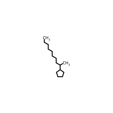 CCCCCCCCC(C)C1CCCC1